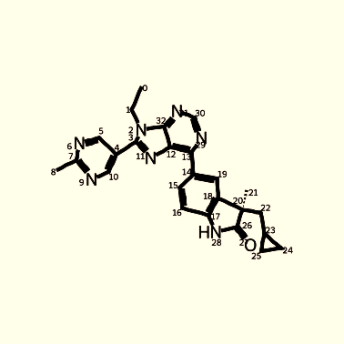 CCn1c(-c2cnc(C)nc2)nc2c(-c3ccc4c(c3)[C@@](C)(CC3CC3)C(=O)N4)ncnc21